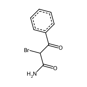 NC(=O)C(Br)C(=O)c1ccccc1